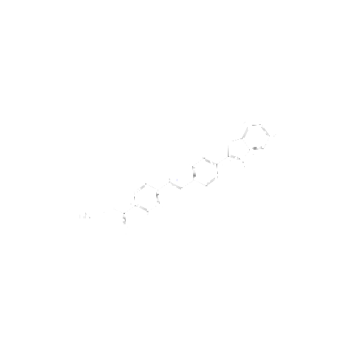 CCCCCCCCCOC(=O)c1ccc(/C=C/c2ccc(-c3nc4ccccc4o3)cc2)cc1